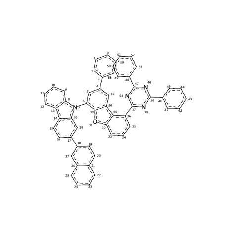 c1ccc(-c2cc(-n3c4ccccc4c4ccc(-c5ccc6ccccc6c5)cc43)c3oc4cccc(-c5nc(-c6ccccc6)nc(-c6ccccc6)n5)c4c3c2)cc1